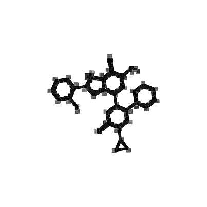 Cn1cc(-c2cc(=O)n(C3CC3)cc2-c2ccccc2)c2cc(-c3ccccc3F)[nH]c2c1=O